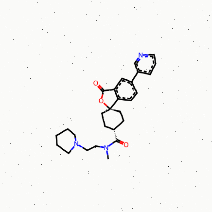 CN(CCN1CCCCC1)C(=O)[C@H]1CC[C@@]2(CC1)OC(=O)c1cc(-c3cccnc3)ccc12